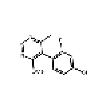 COc1ncnc(C)c1-c1ccc(O)cc1F